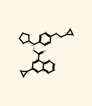 O=C(C[C@@H](c1ccc(CCC2CC2)cc1)C1CCCC1)c1cc(C2CC2)cc2ccccc12